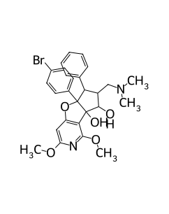 COc1cc2c(c(OC)n1)C1(O)C(O)C(CN(C)C)C(c3ccccc3)C1(c1ccc(Br)cc1)O2